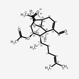 C=C1C[C@H](OC(C)=O)[C@H]([C@@H](C)CCC=C(C)C)[C@@H]2C(C=O)=CC[C@H]1[C@@H]2OC(C)=O